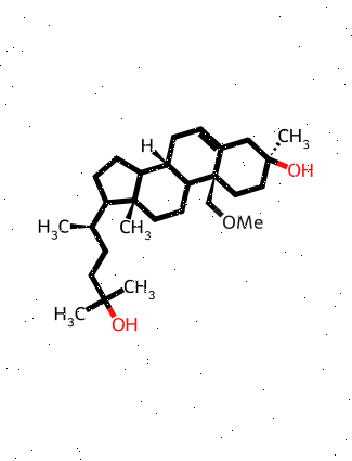 COC[C@]12CC[C@](C)(O)CC1=CC[C@@H]1C2CC[C@@]2(C)C1CCC2[C@H](C)CCC(C)(C)O